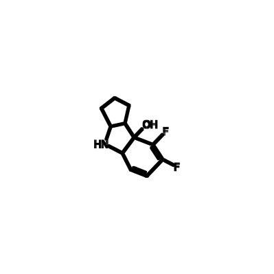 OC12C(F)=C(F)C=CC1NC1CCCC12